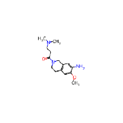 COc1cc2c(cc1N)CN(C(=O)CCN(C)C)CC2